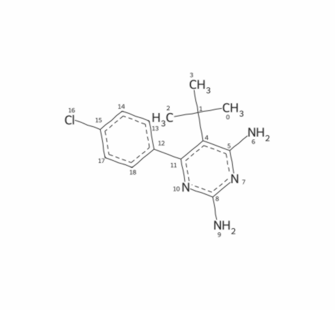 CC(C)(C)c1c(N)nc(N)nc1-c1ccc(Cl)cc1